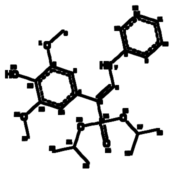 COc1cc(/C(=C\Nc2cccnc2)P(=O)(OC(C)C)OC(C)C)cc(OC)c1O